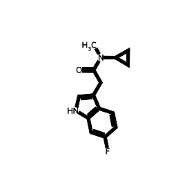 CN(C(=O)Cc1c[nH]c2cc(F)ccc12)C1CC1